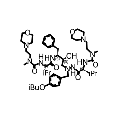 CC(C)COc1ccc(CN(C[C@H](O)[C@H](Cc2ccccc2)NC(=O)[C@@H](NC(=O)N(C)CCN2CCOCC2)C(C)C)NC(=O)[C@@H](NC(=O)N(C)CCN2CCOCC2)C(C)C)cc1